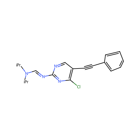 CC(C)N(/C=N/c1ncc(C#Cc2ccccc2)c(Cl)n1)C(C)C